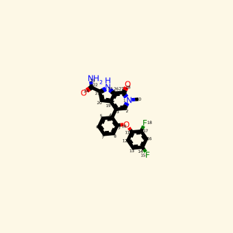 Cn1cc(-c2ccccc2Oc2ccc(F)cc2F)c2cc(C(N)=O)[nH]c2c1=O